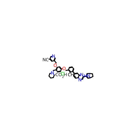 Cc1c(COc2cc(OCc3cncc(C#N)c3)c(CN3CCCC[C@H]3C(=O)O)cc2Cl)cccc1-c1ccc2ncc(C3=CC4CCC(C3)N4)nc2c1